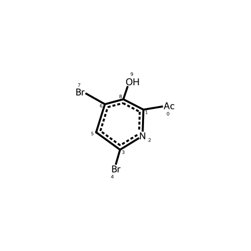 CC(=O)c1nc(Br)cc(Br)c1O